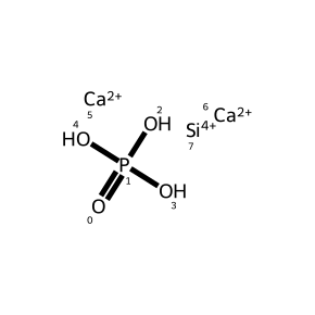 O=P(O)(O)O.[Ca+2].[Ca+2].[Si+4]